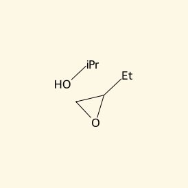 CC(C)O.CCC1CO1